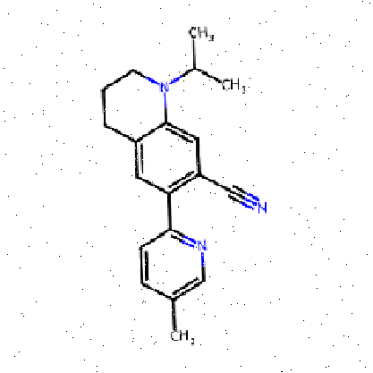 Cc1ccc(-c2cc3c(cc2C#N)N(C(C)C)CCC3)nc1